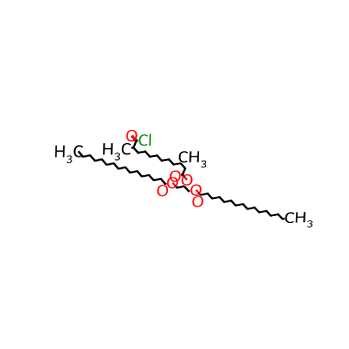 CCCCCCCCCCCCCCCC(=O)OCC(COC(=O)CCCCCCCCCCCCCCC)OC(=O)CC(C)CCCCCCCC(C)C(=O)Cl